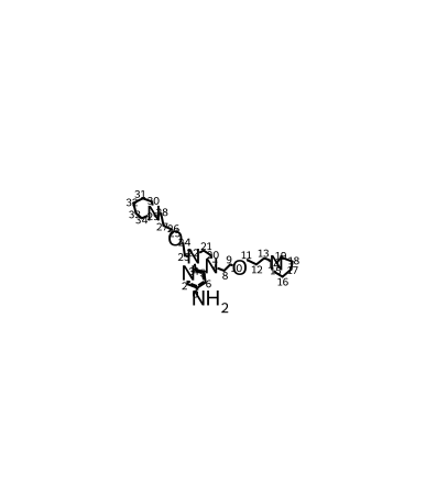 Nc1cnc2c(c1)N(CCOCCCN1CCCCC1)CCN2CCOCCCN1CCCCC1